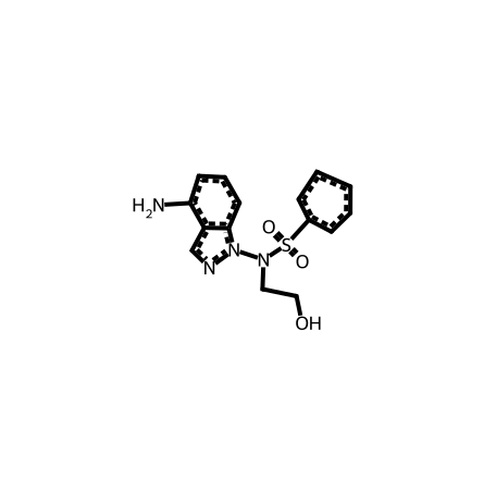 Nc1cccc2c1cnn2N(CCO)S(=O)(=O)c1ccccc1